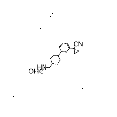 N#CC1(c2cccc(C3CCC(CNC=O)CC3)c2)CC1